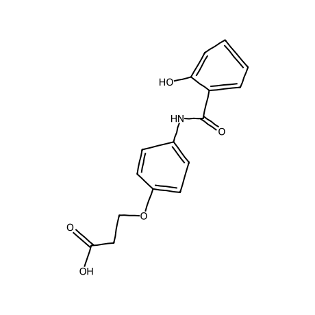 O=C(O)CCOc1ccc(NC(=O)c2ccccc2O)cc1